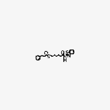 O=C(CCCCCCSC(=O)CCc1ccccc1)Nc1nc2ccccc2s1